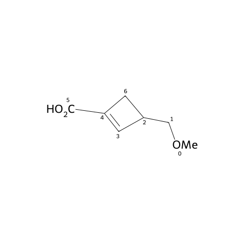 COCC1C=C(C(=O)O)C1